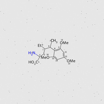 CCC(CC(N)C(=O)O)C(C)c1c(OC)cc(OC)cc1OC